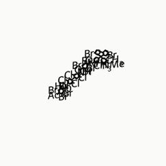 CNc1ccc(C2(c3ccc(NC(=O)c4c(Br)c(Br)c(C(=O)Nc5cc(Cl)c(-c6cc(Cl)c(NC(=O)c7c(Br)c(Br)c(C(C)=O)c(Br)c7Br)cc6Cl)cc5Cl)c(Br)c4Br)c(C)c3)c3cc(Br)ccc3-c3ccc(Br)cc32)cc1C